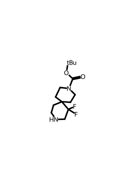 CC(C)(C)OC(=O)N1CCC2(CCNCC2(F)F)CC1